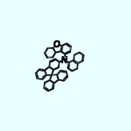 C1=CCC2C(=C1)C1C=CC=CC1C21c2ccccc2C2C=CC(N(C3=CCCC4=C3CCC=C4)c3cccc4c3C3CCCCC3O4)CC21